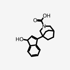 O=C(O)N1CC2CCC(C3=CC(O)c4ccccc43)(CC2)C1